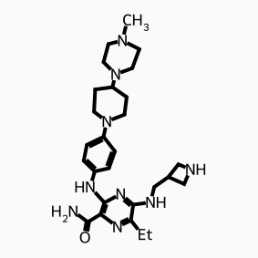 CCc1nc(C(N)=O)c(Nc2ccc(N3CCC(N4CCN(C)CC4)CC3)cc2)nc1NCC1CNC1